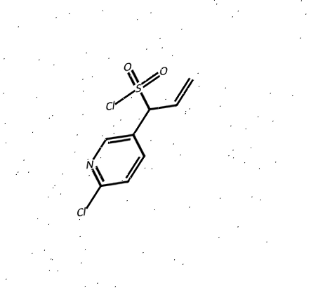 C=CC(c1ccc(Cl)nc1)S(=O)(=O)Cl